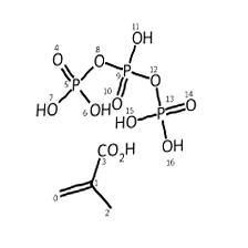 C=C(C)C(=O)O.O=P(O)(O)OP(=O)(O)OP(=O)(O)O